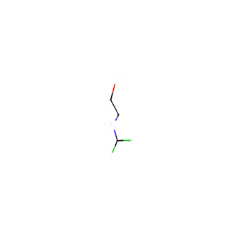 OCCNC(Cl)Cl